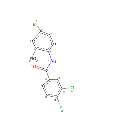 O=C(Nc1ccc(Br)cc1[N+](=O)[O-])c1ccc(F)c(Cl)c1